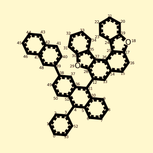 c1ccc(-c2c3ccccc3c(-c3cc4ccc5oc6ccccc6c5c4c4c3oc3ccccc34)c3cc(-c4ccc5ccccc5c4)ccc23)cc1